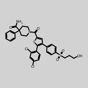 NC(=O)C1(c2ccccc2)CCN(C(=O)c2cc(-c3ccc(S(=O)(=O)CCCO)cc3)c(-c3ccc(Cl)cc3Cl)s2)CC1